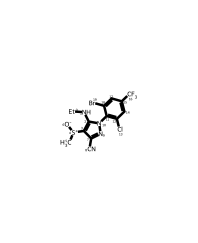 CCNc1c([S+](C)[O-])c(C#N)nn1-c1c(Cl)cc(C(F)(F)F)cc1Br